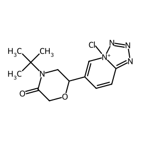 CC(C)(C)N1CC(C2=C[N+]3(Cl)N=NN=C3C=C2)OCC1=O